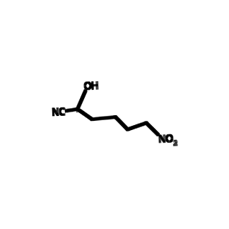 N#C[C](O)CCCC[N+](=O)[O-]